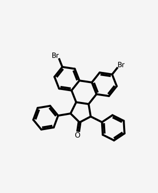 O=C1C(c2ccccc2)C2c3ccc(Br)cc3-c3cc(Br)ccc3C2C1c1ccccc1